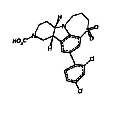 O=C(O)N1CC[C@H]2[C@@H](C1)c1cc(-c3ccc(Cl)cc3Cl)cc3c1N2CCCS3(=O)=O